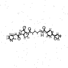 O=C(NCCCCC(=O)N1CCC2C1C(=O)CN2C(=O)Cc1cccnc1)c1ccc(-c2cnco2)cc1